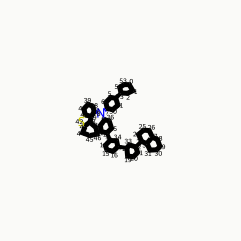 c1ccc(-c2ccc(N(c3ccc(-c4cccc(-c5cccc(-c6cccc7ccccc67)c5)c4)cc3)c3cccc4sc5ccccc5c34)cc2)cc1